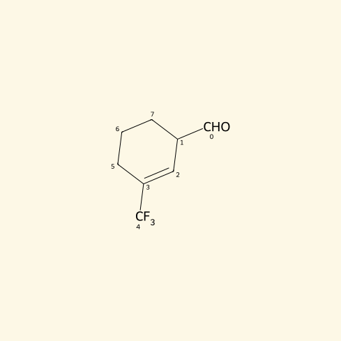 O=CC1C=C(C(F)(F)F)CCC1